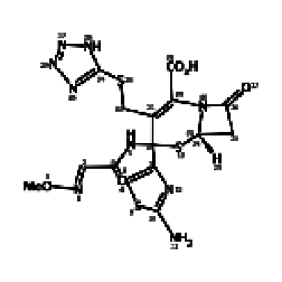 CON=CC(=O)NC1(c2csc(N)n2)S[C@H]2CC(=O)N2C(C(=O)O)=C1CSc1nnn[nH]1